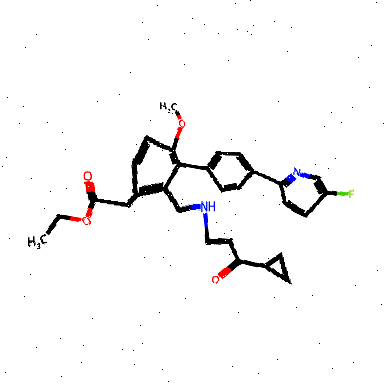 CCOC(=O)Cc1ccc(OC)c(-c2ccc(-c3ccc(F)cn3)cc2)c1CNCCC(=O)C1CC1